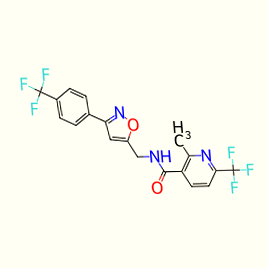 Cc1nc(C(F)(F)F)ccc1C(=O)NCc1cc(-c2ccc(C(F)(F)F)cc2)no1